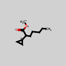 CCCCCC(C(=O)OC)C1CC1